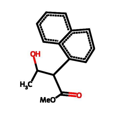 COC(=O)C(c1cccc2ccccc12)C(C)O